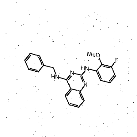 COc1c(F)cccc1Nc1nc(NCc2ccccc2)c2ccccc2n1